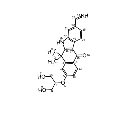 CC1(C)c2cc(OC(CO)CO)ccc2C(=O)c2c1[nH]c1cc(C=N)ccc21